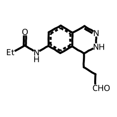 CCC(=O)Nc1ccc2c(c1)C(CCC=O)NN=C2